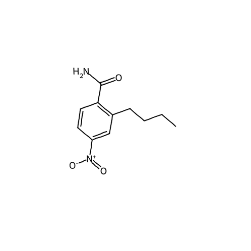 CCCCc1cc([N+](=O)[O-])ccc1C(N)=O